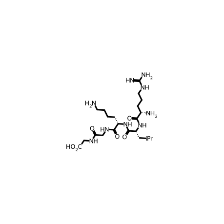 CC(C)C[C@@H](NC(=O)[C@@H](N)CCCNC(=N)N)C(=O)N[C@@H](CCCCN)C(=O)NCC(=O)NCC(=O)O